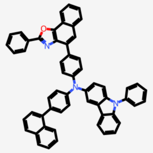 c1ccc(-c2nc3c(-c4ccc(N(c5ccc(-c6cccc7ccccc67)cc5)c5ccc6c(c5)c5ccccc5n6-c5ccccc5)cc4)cc4ccccc4c3o2)cc1